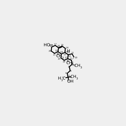 C[C@H](CCCC(C)(C)O)[C@H]1CCC2[C@@H]3CC=C4C[C@@H](O)CC[C@]4(C)C3CC[C@@]21C